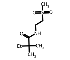 CCC(C)(C)C(=O)NCCS(C)(=O)=O